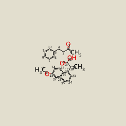 CC(=O)CCc1ccccc1.COc1ccc2c(C(C)C(=O)O)cccc2c1